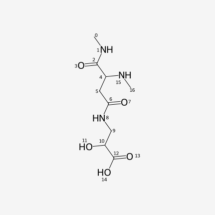 CNC(=O)C(CC(=O)NCC(O)C(=O)O)NC